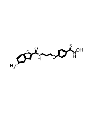 Cc1ccc2sc(C(=O)NCCCOc3ccc(C(=S)NO)cc3)cc2c1